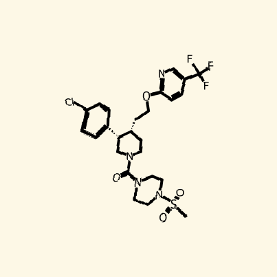 CS(=O)(=O)N1CCN(C(=O)N2CC[C@@H](CCOc3ccc(C(F)(F)F)cn3)[C@@H](c3ccc(Cl)cc3)C2)CC1